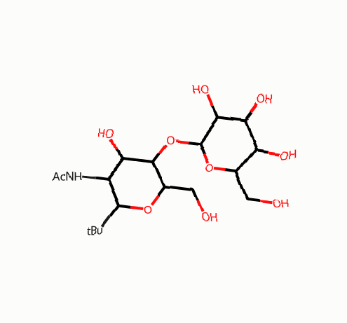 CC(=O)NC1C(O)C(OC2OC(CO)C(O)C(O)C2O)C(CO)OC1C(C)(C)C